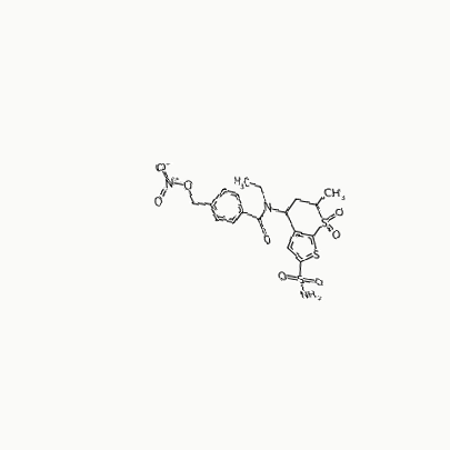 CCN(C(=O)c1ccc(CO[N+](=O)[O-])cc1)C1CC(C)S(=O)(=O)c2sc(S(N)(=O)=O)cc21